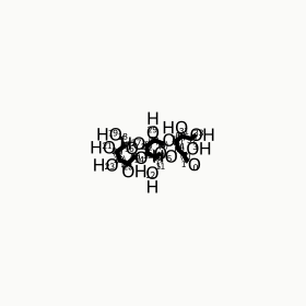 O=C[C@H](O)[C@@H](O)[C@H](O[C@@H]1O[C@H](CO)[C@@H](O[C@@H]2O[C@H](CO)[C@@H](O)[C@H](O)[C@H]2O)[C@H](O)[C@H]1O)[C@H](O)CO